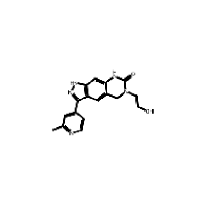 Cc1cc(-c2n[nH]c3cc4c(cc23)CN(CCO)C(=O)N4)ccn1